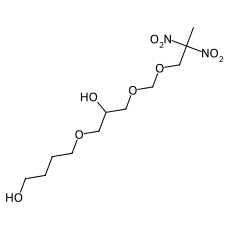 CC(COCOCC(O)COCCCCO)([N+](=O)[O-])[N+](=O)[O-]